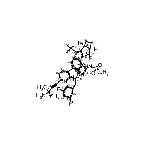 Cn1nc(NS(C)(=O)=O)c2cccc(-c3ccc(C#CC(C)(C)N)nc3[C@H](Cc3cc(F)cc(F)c3)NC(=O)Cn3nc(C(F)(F)F)c4c3C(F)(F)[C@@H]3CC[C@H]43)c21